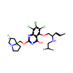 Oc1nc(OC[C@@]23CCCN2C[C@H](F)C3)nc2c(F)c(Br)c(Cl)c(OCC(/C=C/I)NCC(F)F)c12